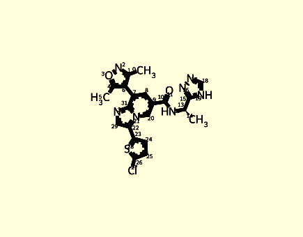 Cc1noc(C)c1-c1cc(C(=O)N[C@@H](C)c2nnc[nH]2)cn2c(-c3ccc(Cl)s3)cnc12